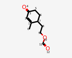 CC1=CC(=O)CCC1CCOC=O